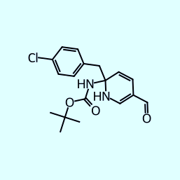 CC(C)(C)OC(=O)NC1(Cc2ccc(Cl)cc2)C=CC(C=O)=CN1